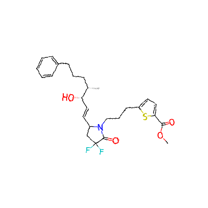 COC(=O)c1ccc(CCCN2C(=O)C(F)(F)CC2/C=C/[C@H](O)[C@@H](C)CCCc2ccccc2)s1